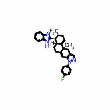 C[C@]12Cc3cnn(-c4ccc(F)cc4)c3C=C1CC[C@H]1C2=CC[C@@H](C(F)(F)F)[C@@H]1c1nc2ccccc2[nH]1